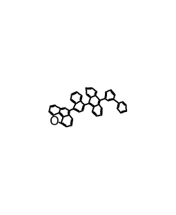 c1ccc(-c2cccc(-c3c4ccccc4c(-c4ccc(-c5cc6cccc7oc8cccc5c8c67)c5ccccc45)c4ccccc34)c2)cc1